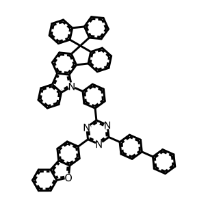 c1ccc(-c2ccc(-c3nc(-c4cccc(-n5c6ccccc6c6ccc7c(c65)-c5ccccc5C75c6ccccc6-c6ccccc65)c4)nc(-c4ccc5c(c4)oc4ccccc45)n3)cc2)cc1